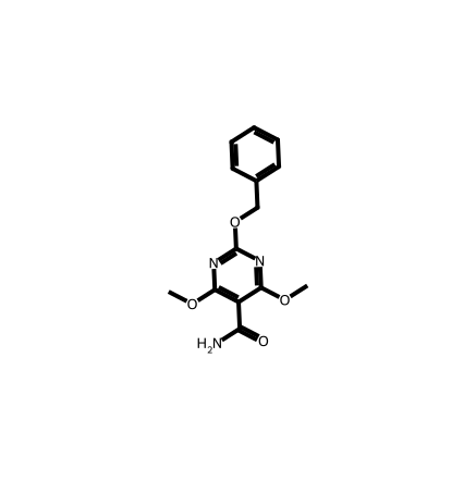 COc1nc(OCc2ccccc2)nc(OC)c1C(N)=O